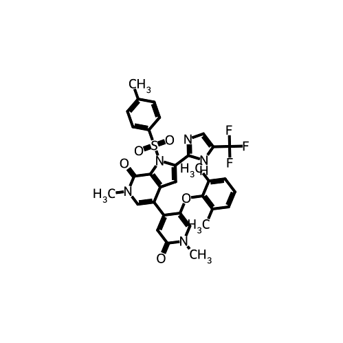 Cc1ccc(S(=O)(=O)n2c(-c3ncc(C(F)(F)F)[nH]3)cc3c(-c4cc(=O)n(C)cc4Oc4c(C)cccc4C)cn(C)c(=O)c32)cc1